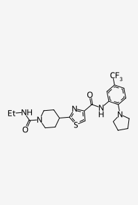 CCNC(=O)N1CCC(c2nc(C(=O)Nc3cc(C(F)(F)F)ccc3N3CCCC3)cs2)CC1